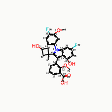 COc1cc(-n2c(C3(C)CC(O)C3)c(-c3cccc(C(=O)O)c3OC)c3c(O)cc(F)cc32)ccc1F